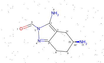 Nc1c2c(nn1C=O)CC[C@H](N)C2